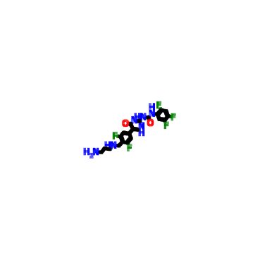 NCCCNCc1c(F)cc(-c2c[nH]c(NC(=O)Nc3cc(F)c(F)cc3F)nc2=O)cc1F